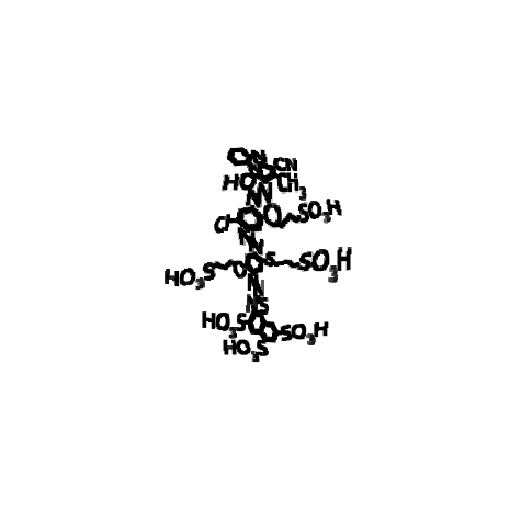 Cc1c(N=Nc2cc(Cl)c(N=Nc3cc(OCCCS(=O)(=O)O)c(N=Nc4nc5c(S(=O)(=O)O)cc6c(S(=O)(=O)O)cc(S(=O)(=O)O)cc6c5s4)cc3SCCCS(=O)(=O)O)cc2OCCCS(=O)(=O)O)c(O)n2c(nc3ccccc32)c1C#N